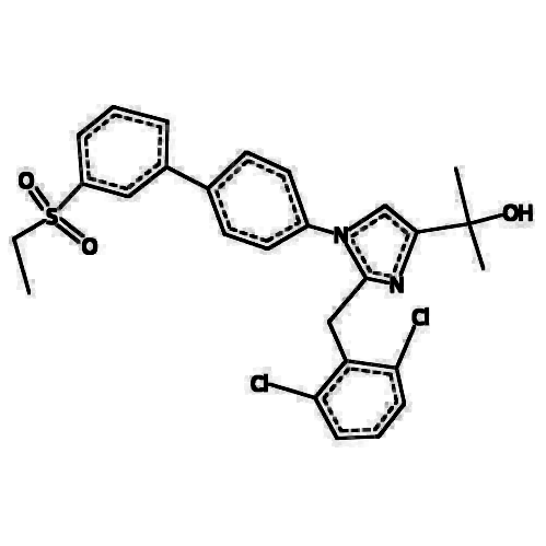 CCS(=O)(=O)c1cccc(-c2ccc(-n3cc(C(C)(C)O)nc3Cc3c(Cl)cccc3Cl)cc2)c1